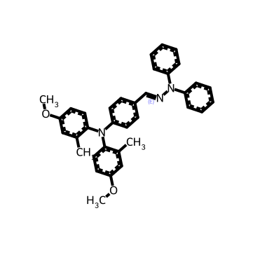 COc1ccc(N(c2ccc(/C=N/N(c3ccccc3)c3ccccc3)cc2)c2ccc(OC)cc2C)c(C)c1